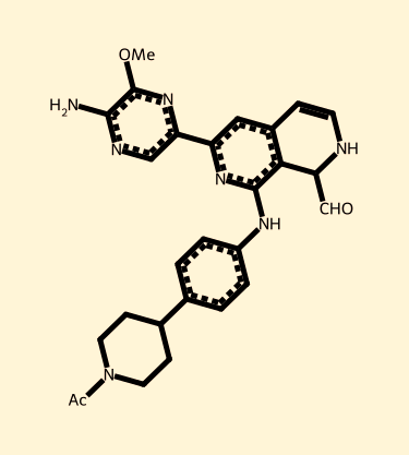 COc1nc(-c2cc3c(c(Nc4ccc(C5CCN(C(C)=O)CC5)cc4)n2)C(C=O)NC=C3)cnc1N